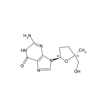 C[C@@]1(CO)CC[C@H](n2cnc3c(=O)[nH]c(N)nc32)O1